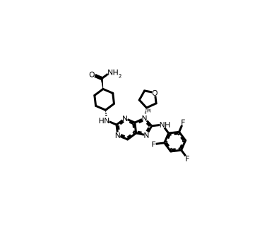 NC(=O)[C@H]1CC[C@H](Nc2ncc3nc(Nc4c(F)cc(F)cc4F)n([C@@H]4CCOC4)c3n2)CC1